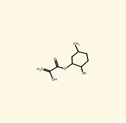 C=C(O)C(=O)OC1CC(C)CCC1C(C)C